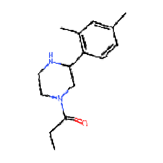 CCC(=O)N1CCNC(c2ccc(C)cc2C)C1